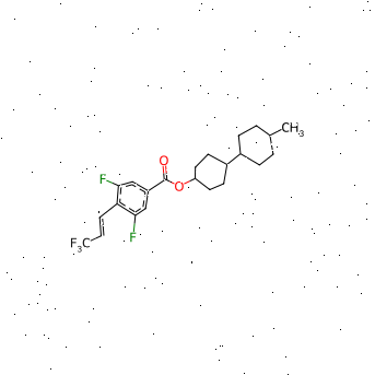 CC1CCC(C2CCC(OC(=O)c3cc(F)c(/C=C/C(F)(F)F)c(F)c3)CC2)CC1